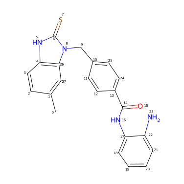 Cc1ccc2[nH]c(=S)n(Cc3ccc(C(=O)Nc4ccccc4N)cc3)c2c1